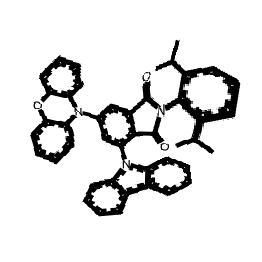 CC(C)c1cccc(C(C)C)c1N1C(=O)c2cc(N3c4ccccc4Oc4ccccc43)cc(-n3c4ccccc4c4ccccc43)c2C1=O